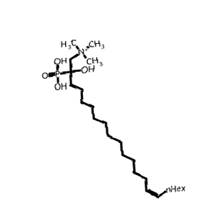 CCCCCC/C=C\CCCCCCCCCCCCC(O)(C[N+](C)(C)C)P(=O)(O)O